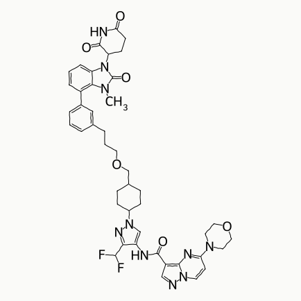 Cn1c(=O)n(C2CCC(=O)NC2=O)c2cccc(-c3cccc(CCCOCC4CCC(n5cc(NC(=O)c6cnn7ccc(N8CCOCC8)nc67)c(C(F)F)n5)CC4)c3)c21